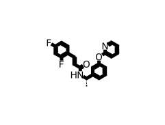 C[C@H](NC(=O)/C=C/c1ccc(F)cc1F)c1cccc(Oc2ccccn2)c1